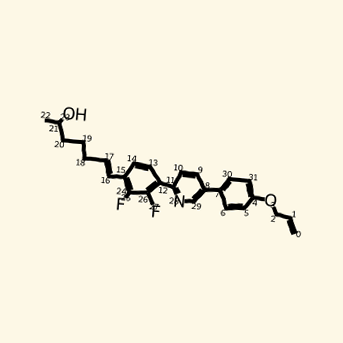 C=CCOc1ccc(-c2ccc(-c3ccc(/C=C/CCCC(C)O)c(F)c3F)nc2)cc1